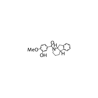 COc1ccc(C(=O)N2CCC[C@H]3c4ccccc4C[C@H]32)cc1O